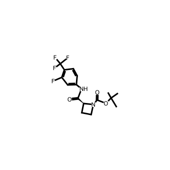 CC(C)(C)OC(=O)N1CC[C@H]1C(=O)Nc1ccc(C(F)(F)F)c(F)c1